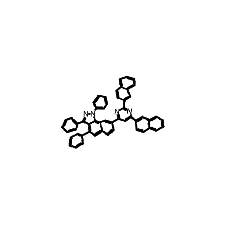 c1ccc(-c2cc3ccc(-c4cc(-c5ccc6ccccc6c5)nc(-c5ccc6ccccc6c5)n4)cc3c3c2c(-c2ccccc2)nn3-c2ccccc2)cc1